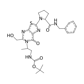 CC(CNC(=O)OC(C)(C)C)n1c(CO)nc2sc(N3CCCC3C(=O)NCc3ccccc3)nc2c1=O